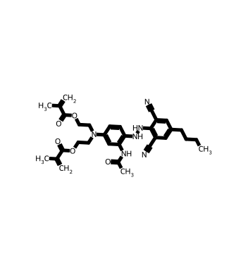 C=C(C)C(=O)OCCN(CCOC(=O)C(=C)C)c1ccc(NNc2c(C#N)cc(CCCC)cc2C#N)c(NC(C)=O)c1